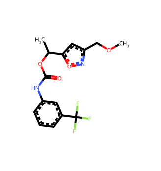 COCc1cc(C(C)OC(=O)Nc2cccc(C(F)(F)F)c2)on1